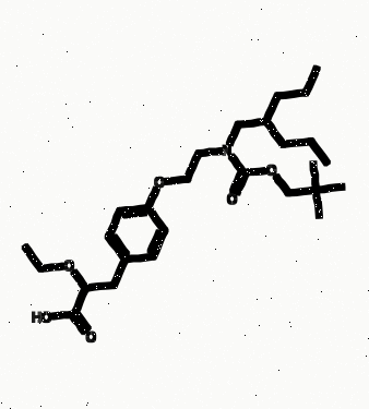 CCCC(CCC)CN(CCOc1ccc(CC(OCC)C(=O)O)cc1)C(=O)OCC(C)(C)C